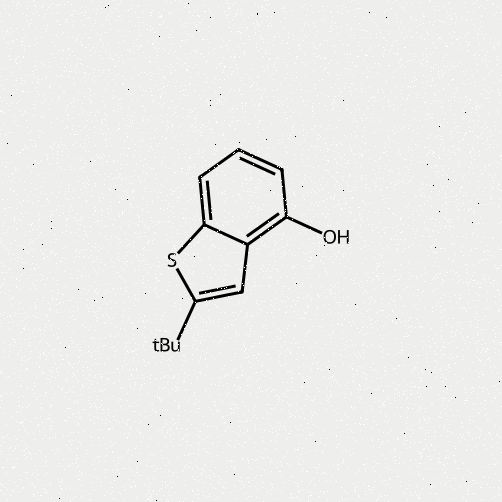 CC(C)(C)c1cc2c(O)cccc2s1